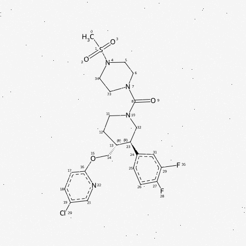 CS(=O)(=O)N1CCN(C(=O)N2CC[C@@H](COc3ccc(Cl)cn3)[C@H](c3ccc(F)c(F)c3)C2)CC1